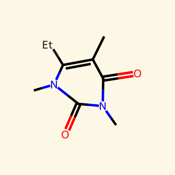 CCc1c(C)c(=O)n(C)c(=O)n1C